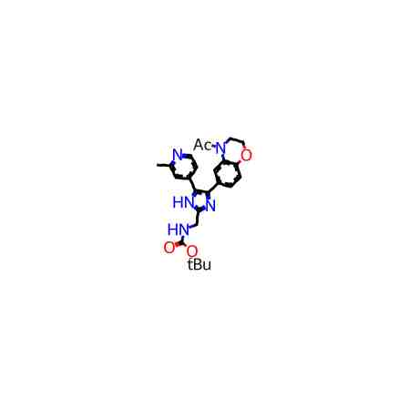 CC(=O)N1CCOc2ccc(-c3nc(CNC(=O)OC(C)(C)C)[nH]c3-c3ccnc(C)c3)cc21